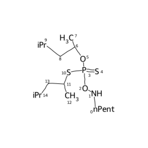 CCCCCNOP(=S)(OC(C)CC(C)C)SC(C)CC(C)C